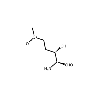 C[S+]([O-])CC[C@@H](O)[C@H](N)C=O